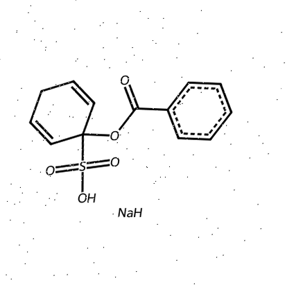 O=C(OC1(S(=O)(=O)O)C=CCC=C1)c1ccccc1.[NaH]